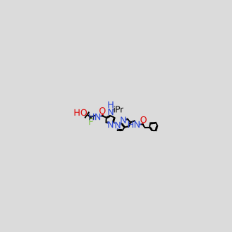 CC(C)Nc1cc(-n2ccc3cc(CNC(=O)Cc4ccccc4)cnc32)ncc1C(=O)NC[C@@H](F)C(C)(C)O